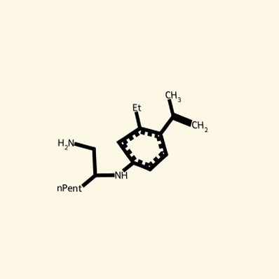 C=C(C)c1ccc(NC(CN)CCCCC)cc1CC